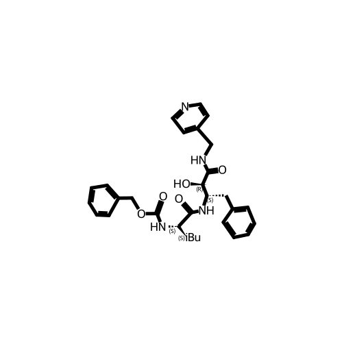 CC[C@H](C)[C@H](NC(=O)OCc1ccccc1)C(=O)N[C@@H](Cc1ccccc1)[C@@H](O)C(=O)NCc1ccncc1